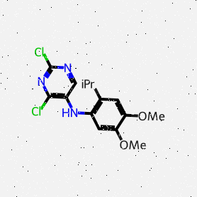 COc1cc(Nc2cnc(Cl)nc2Cl)c(C(C)C)cc1OC